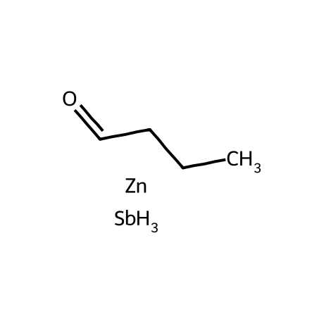 CCCC=O.[SbH3].[Zn]